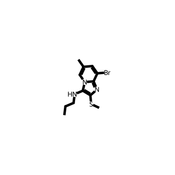 CCCNc1c(SC)nc2c(Br)cc(C)cn12